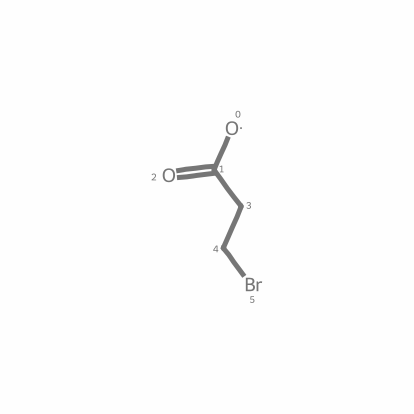 [O]C(=O)CCBr